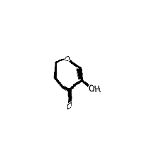 O=C1CCOC=C1O